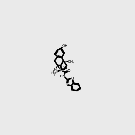 CN1CC[C@@]2(C)c3cc(O)ccc3C[C@@H]1[C@@H]2N(C)C(=O)Nc1nc2ccccc2o1